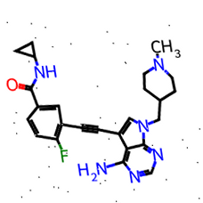 CN1CCC(Cn2cc(C#Cc3cc(C(=O)NC4CC4)ccc3F)c3c(N)ncnc32)CC1